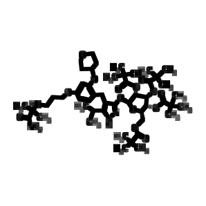 CC(C)c1[nH]nc(O[C@@H]2O[C@H](COC(=O)C(C)(C)C)[C@@H](OC(=O)C(C)(C)C)[C@H](OC(=O)C(C)(C)C)[C@H]2OC(=O)C(C)(C)C)c1Cc1ccc(OCCCNC(C)(C)C(N)=O)cc1OC1CCOCC1